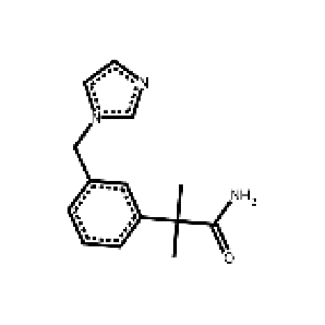 CC(C)(C(N)=O)c1cccc(Cn2ccnc2)c1